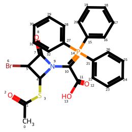 CC(=O)SC1C(Br)C(=O)N1C(C(=O)O)=P(c1ccccc1)(c1ccccc1)c1ccccc1